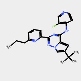 CCCc1cccc(-c2nc(Nc3ccncc3F)c3cc(C(C)(C)C)cn3n2)n1